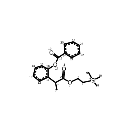 CC(C(=O)OCC[Si](C)(C)C)c1ccccc1OC(=O)c1ccccc1